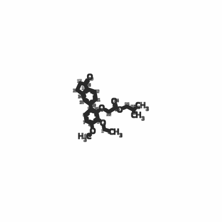 CCOc1c(OC)ccc(-c2ccc3c(c2)CCC3=O)c1OCC(=O)OCC(C)C